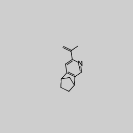 C=C(C)c1cc2c(cn1)C1CCC2C1